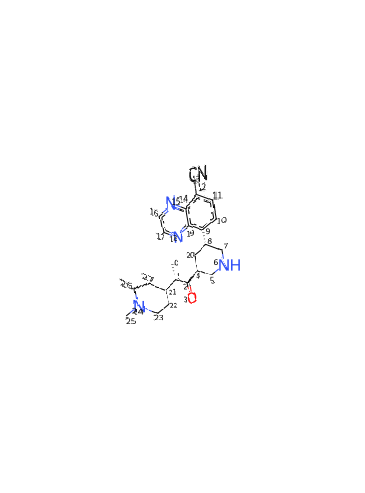 C[C@H](C(=O)[C@@H]1CNC[C@@H](c2ccc(C#N)c3nccnc23)C1)C1CCN(C)CC1